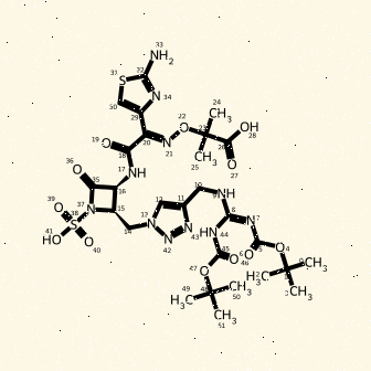 CC(C)(C)OC(=O)/N=C(/NCc1cn(C[C@@H]2[C@H](NC(=O)C(=NOC(C)(C)C(=O)O)c3csc(N)n3)C(=O)N2S(=O)(=O)O)nn1)NC(=O)OC(C)(C)C